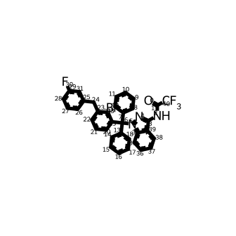 O=C(Nc1nn(C(c2ccccc2)(c2ccccc2)c2cccc(Cc3cccc(F)c3)c2Br)c2ccccc12)C(F)(F)F